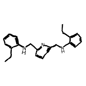 CCc1ccccc1NCc1cccc(CNc2ccccc2CC)n1